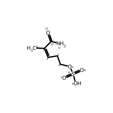 CC(=CCCOS(=O)(=O)O)C(N)=O